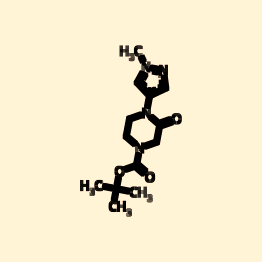 Cn1cc(N2CCN(C(=O)OC(C)(C)C)CC2=O)cn1